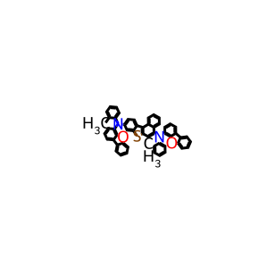 Cc1ccccc1N(c1ccc2c(c1)sc1cc(N(c3ccccc3C)c3cccc4c3oc3ccccc34)c3ccccc3c12)c1cccc2c1oc1ccccc12